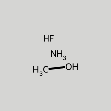 CO.F.N